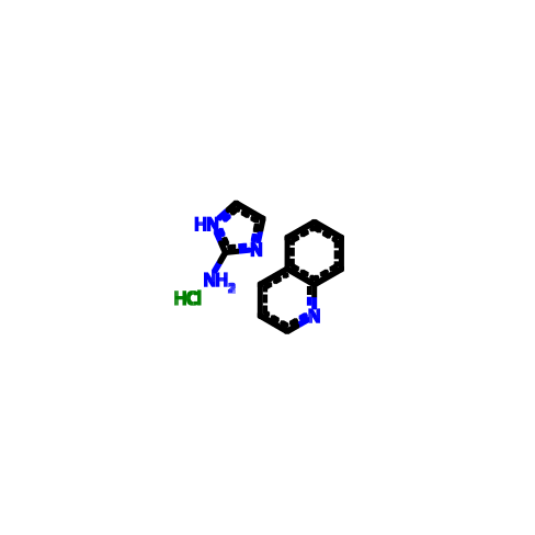 Cl.Nc1ncc[nH]1.c1ccc2ncccc2c1